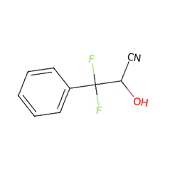 N#CC(O)C(F)(F)c1ccccc1